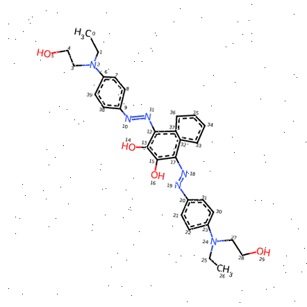 CCN(CCO)c1ccc(N=Nc2c(O)c(O)c(N=Nc3ccc(N(CC)CCO)cc3)c3ccccc23)cc1